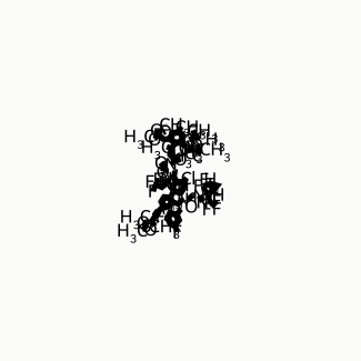 COP(=O)(Cc1cc(C)cc(OP(=O)(OC(C)C)OC(C)C)c1C(C)(C)CC(=O)N(Cc1nn(CC(F)(F)F)c2c(-c3ccc(C#CC(C)(C)S(C)(=O)=O)nc3[C@H](Cc3cc(F)cc(F)c3)NC(=O)Cn3nc(C(F)(F)F)c4c3C(F)(F)[C@@H]3C[C@H]43)ccc(Cl)c12)[SH](=O)=O)OC